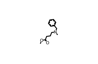 COC(=O)CCCN(C)Cc1ccccc1